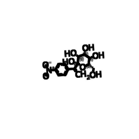 C=C(c1ccc([N+](=O)[O-])cc1)[C@]1(O)O[C@@H](CO)[C@H](O)[C@@H](O)[C@@H]1O